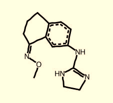 CO/N=C1/CCCc2ccc(NC3=NCCN3)cc21